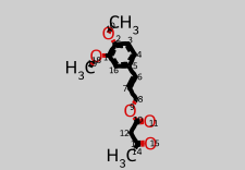 COc1ccc(/C=C/COC(=O)CC(C)=O)cc1OC